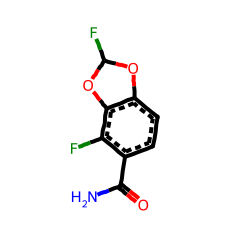 NC(=O)c1ccc2c(c1F)OC(F)O2